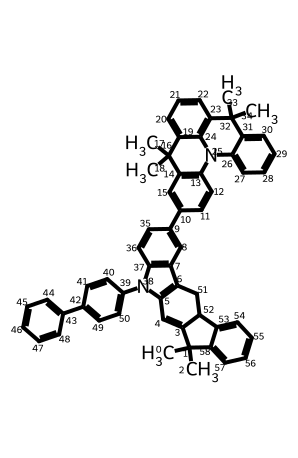 CC1(C)C2=Cc3c(c4cc(-c5ccc6c(c5)C(C)(C)c5cccc7c5N6c5ccccc5C7(C)C)ccc4n3-c3ccc(-c4ccccc4)cc3)CC2c2ccccc21